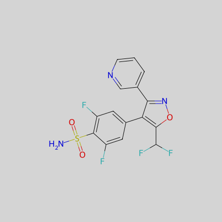 NS(=O)(=O)c1c(F)cc(-c2c(-c3cccnc3)noc2C(F)F)cc1F